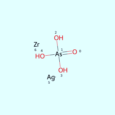 O=[As](O)(O)O.[Ag].[Zr]